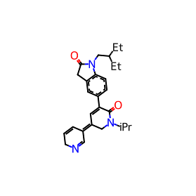 CCC(CC)CN1C(=O)Cc2cc(C3=CC(=C4C=CCN=C4)CN(C(C)C)C3=O)ccc21